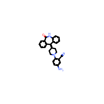 N#Cc1cc(N)ccc1N1CCC(=C2c3ccccc3NC(=O)c3ccccc32)CC1